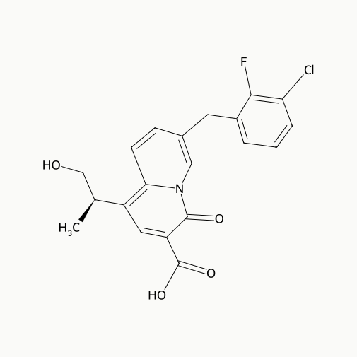 C[C@@H](CO)c1cc(C(=O)O)c(=O)n2cc(Cc3cccc(Cl)c3F)ccc12